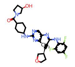 Cc1nc(NC2CCC(C(=O)N3CC[C@@H](O)C3)CC2)ncc1/N=C(\C#C[C@H]1CCOC1)Nc1c(F)cc(F)cc1F